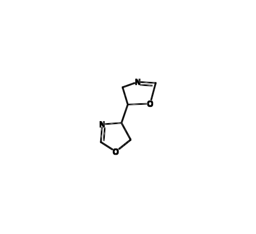 C1=NCC(C2COC=N2)O1